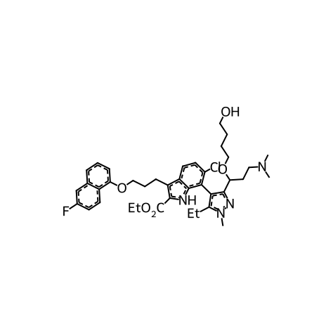 CCOC(=O)c1[nH]c2c(-c3c(C(CCN(C)C)OCCCCO)nn(C)c3CC)c(Cl)ccc2c1CCCOc1cccc2cc(F)ccc12